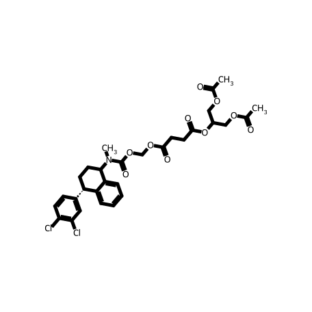 CC(=O)OCC(COC(C)=O)OC(=O)CCC(=O)OCOC(=O)N(C)C1CC[C@@H](c2ccc(Cl)c(Cl)c2)c2ccccc21